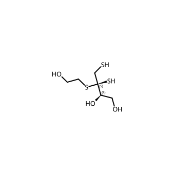 OCCS[C@](S)(CS)[C@H](O)CO